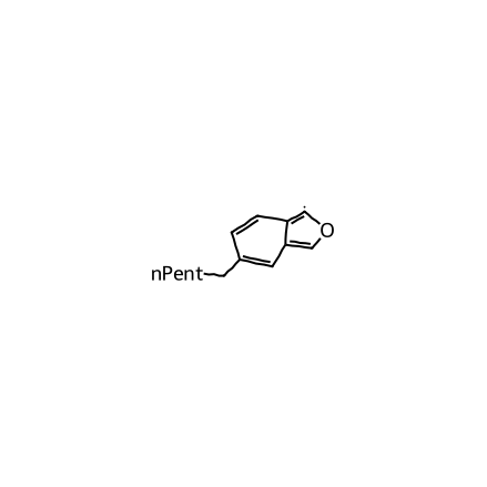 CCCCCCc1ccc2[c]occ2c1